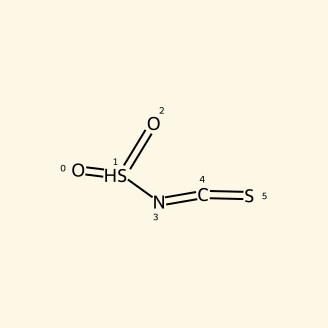 O=[SH](=O)N=C=S